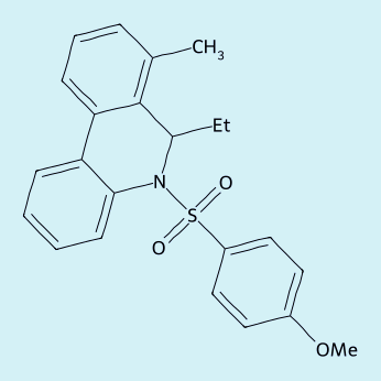 CCC1c2c(C)cccc2-c2ccccc2N1S(=O)(=O)c1ccc(OC)cc1